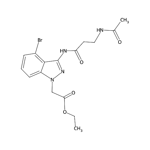 CCOC(=O)Cn1nc(NC(=O)CCNC(C)=O)c2c(Br)cccc21